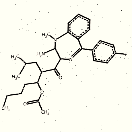 CCCCC(OC(C)=O)C(CC(C)C)C(=O)C1N=C(c2ccc(F)cc2)c2ccccc2N(C)C1N